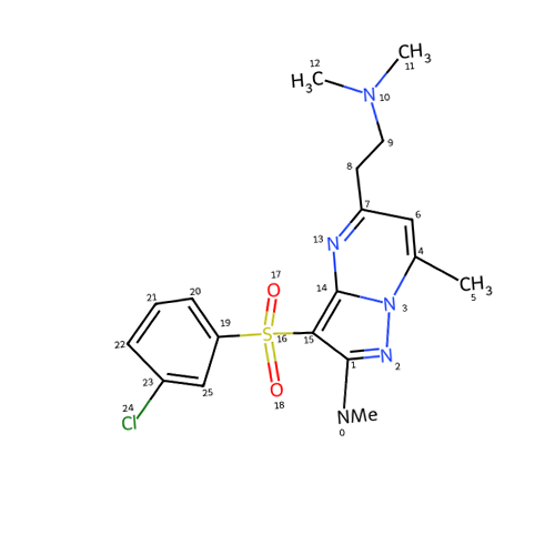 CNc1nn2c(C)cc(CCN(C)C)nc2c1S(=O)(=O)c1cccc(Cl)c1